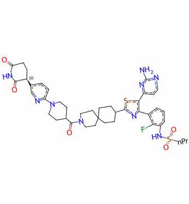 CCCS(=O)(=O)Nc1cccc(-c2nc(C3CCC4(CC3)CCN(C(=O)C3CCN(c5ccc([C@@H]6CCC(=O)NC6=O)cn5)CC3)CC4)sc2-c2ccnc(N)n2)c1F